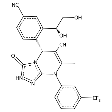 CC1=C(C#N)[C@@H](c2ccc(C#N)cc2[C@H](O)CO)n2c(n[nH]c2=O)N1c1cccc(C(F)(F)F)c1